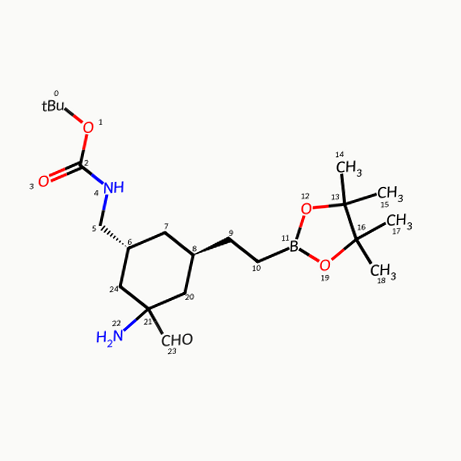 CC(C)(C)OC(=O)NC[C@@H]1C[C@@H](CCB2OC(C)(C)C(C)(C)O2)CC(N)(C=O)C1